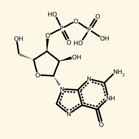 Nc1nc2c(ncn2[C@@H]2O[C@H](CO)[C@@H](OP(=O)(O)OP(=O)(O)O)[C@H]2O)c(=O)[nH]1